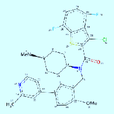 CN[C@H]1CC[C@@H](N(Cc2cc(-c3ccnc(C)c3)ccc2OC)C(=O)c2sc3c(F)ccc(F)c3c2Cl)CC1